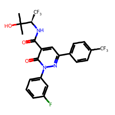 CC(C)(O)[C@H](NC(=O)c1cc(-c2ccc(C(F)(F)F)cc2)nn(-c2cccc(F)c2)c1=O)C(F)(F)F